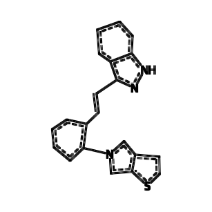 C(=Cc1n[nH]c2ccccc12)c1ccccc1-n1cc2ccsc2c1